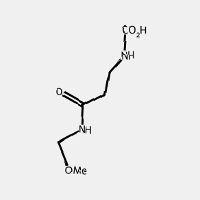 COCNC(=O)CCNC(=O)O